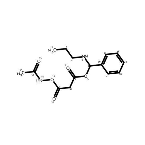 CCCNC(OC(=O)CC(=O)ONC(C)=O)c1ccccc1